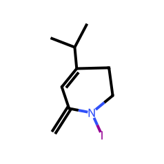 C=C1C=C(C(C)C)CCN1I